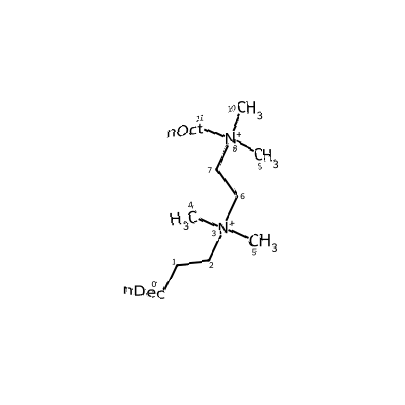 CCCCCCCCCCCC[N+](C)(C)CC[N+](C)(C)CCCCCCCC